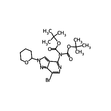 CC(C)(C)OC(=O)N(C(=O)OC(C)(C)C)c1ncc(Br)c2nn(C3CCCCO3)cc12